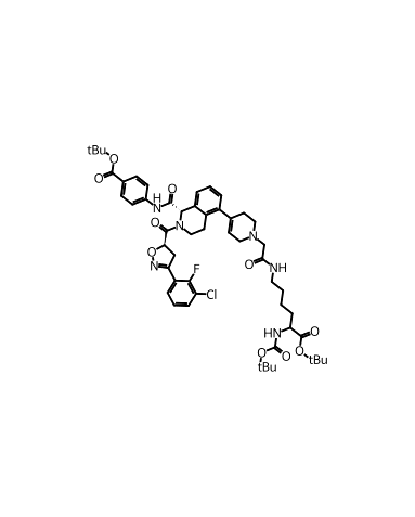 CC(C)(C)OC(=O)NC(CCCCNC(=O)CN1CC=C(c2cccc3c2CCN(C(=O)[C@H]2CC(c4cccc(Cl)c4F)=NO2)[C@@H]3C(=O)Nc2ccc(C(=O)OC(C)(C)C)cc2)CC1)C(=O)OC(C)(C)C